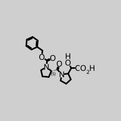 O=C(O)C(O)C1CCCN1C(=O)[C@@H]1CCCN1C(=O)OCc1ccccc1